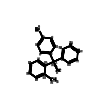 CC(=O)[C@@](c1ccc(Br)cc1)(c1ccnnc1)c1ccccc1C